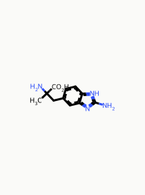 CC(N)(Cc1ccc2[nH]c(N)nc2c1)C(=O)O